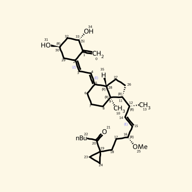 C=C1/C(=C\C=C2/CCC[C@]3(C)[C@@H]([C@H](C)/C=C/[C@@H](CCC4(C(=O)CCCC)CC4)OC)CC[C@@H]23)C[C@@H](O)C[C@@H]1O